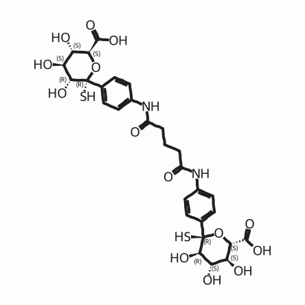 O=C(CCCC(=O)Nc1ccc([C@]2(S)O[C@H](C(=O)O)[C@@H](O)[C@H](O)[C@H]2O)cc1)Nc1ccc([C@]2(S)O[C@H](C(=O)O)[C@@H](O)[C@H](O)[C@H]2O)cc1